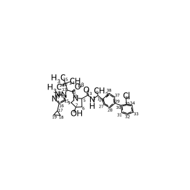 CC(NC(=O)C1CC(O)CN1C(=O)C(n1cc(C2CC2)nn1)C(C)(C)C)c1ccc(-c2ccccc2Cl)cc1